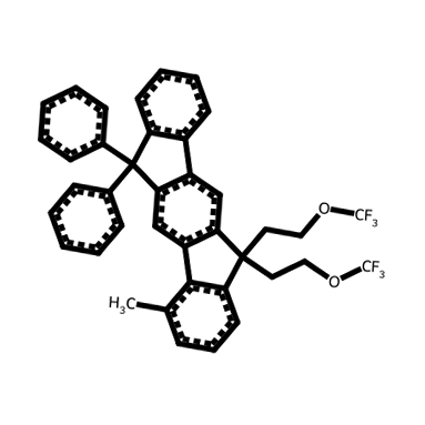 Cc1cccc2c1-c1cc3c(cc1C2(CCOC(F)(F)F)CCOC(F)(F)F)-c1ccccc1C3(c1ccccc1)c1ccccc1